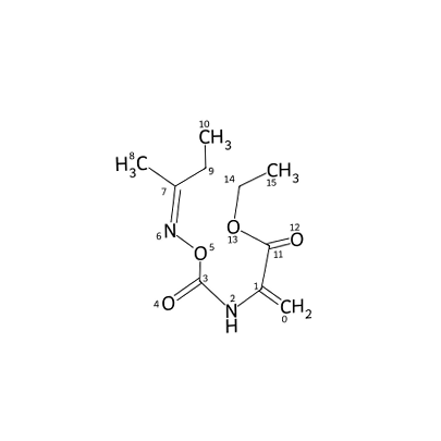 C=C(NC(=O)ON=C(C)CC)C(=O)OCC